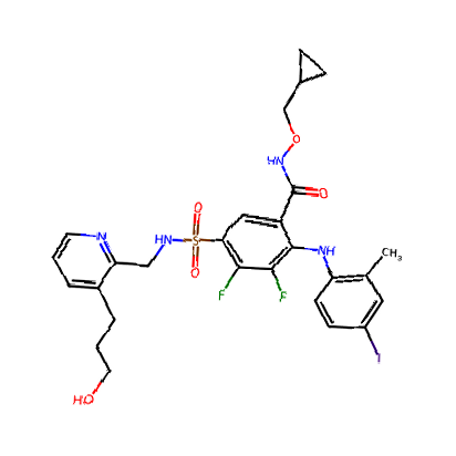 Cc1cc(I)ccc1Nc1c(C(=O)NOCC2CC2)cc(S(=O)(=O)NCc2ncccc2CCCO)c(F)c1F